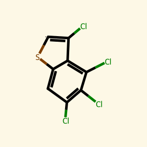 Clc1cc2s[c]c(Cl)c2c(Cl)c1Cl